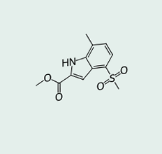 COC(=O)c1cc2c(S(C)(=O)=O)ccc(C)c2[nH]1